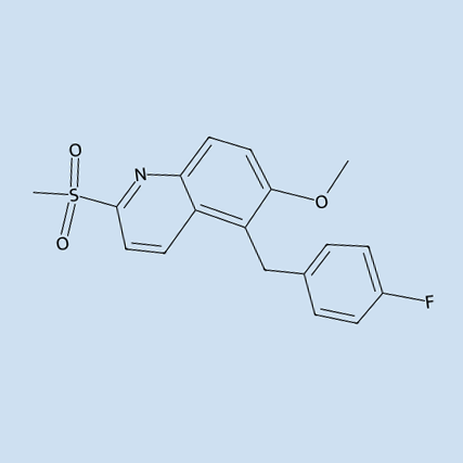 COc1ccc2nc(S(C)(=O)=O)ccc2c1Cc1ccc(F)cc1